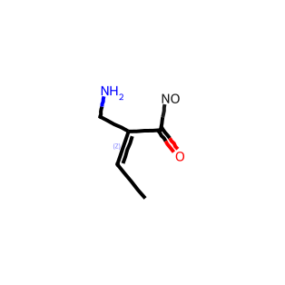 C/C=C(/CN)C(=O)N=O